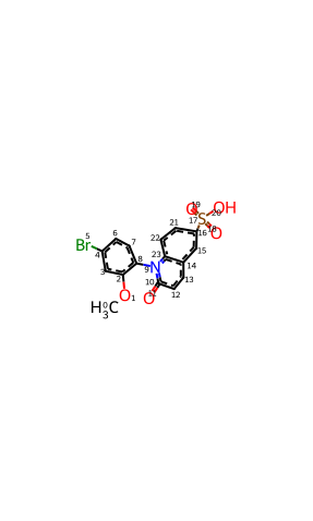 COc1cc(Br)ccc1-n1c(=O)ccc2cc(S(=O)(=O)O)ccc21